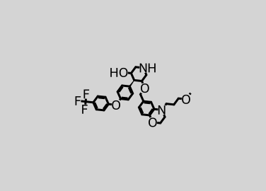 COCCCN1CCOc2ccc(COC3CNCC(O)[C@@H]3c3ccc(Oc4ccc(C(F)(F)F)cc4)cc3)cc21